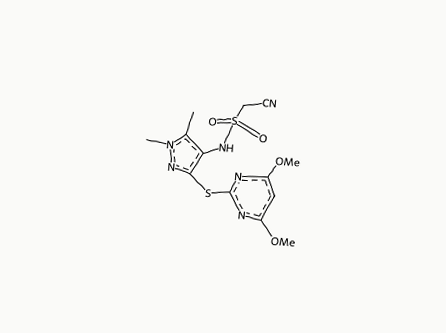 COc1cc(OC)nc(Sc2nn(C)c(C)c2NS(=O)(=O)CC#N)n1